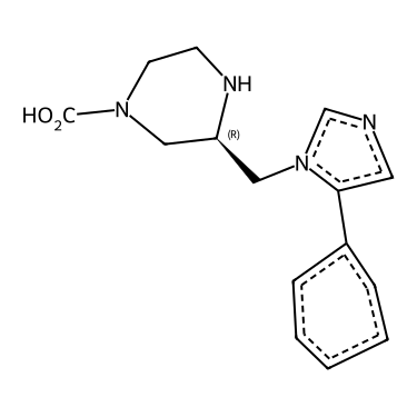 O=C(O)N1CCN[C@@H](Cn2cncc2-c2ccccc2)C1